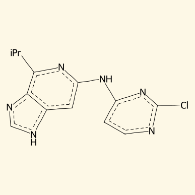 CC(C)c1nc(Nc2ccnc(Cl)n2)cc2[nH]cnc12